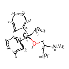 CNC(CO[Si](c1ccccc1)(c1ccccc1)C(C)(C)C)C(C)C